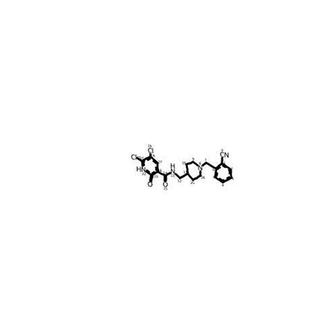 N#Cc1ccccc1CN1CCC(CNC(=O)c2cc(Cl)c(Cl)[nH]c2=O)CC1